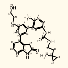 Cc1ncc(NC(=O)NCCC2(C)CC2)cc1-c1cc(OCCO)nc(-c2ccnc3c2CC(=O)N3)c1